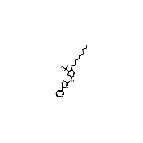 CCCCCCCCOc1ccc(Nc2nc(-c3cccnc3)cs2)cc1C(F)(F)F